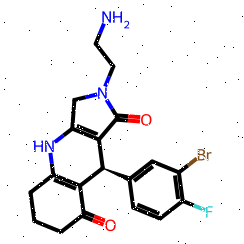 NCCN1CC2=C(C1=O)[C@@H](c1ccc(F)c(Br)c1)C1=C(CCCC1=O)N2